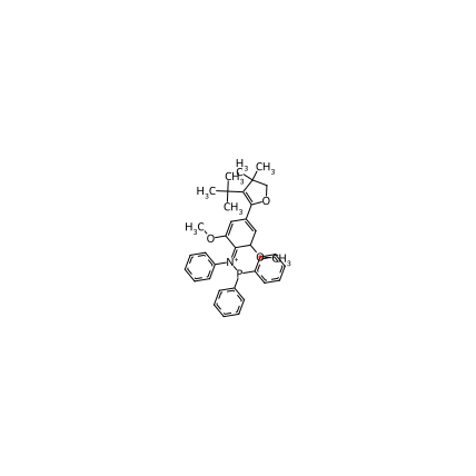 COC1=CC(C2=C(C(C)(C)C)C(C)(C)CO2)=CC(OC)C1=[N+](c1ccccc1)P(c1ccccc1)c1ccccc1